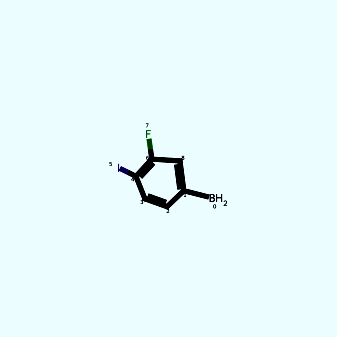 Bc1ccc(I)c(F)c1